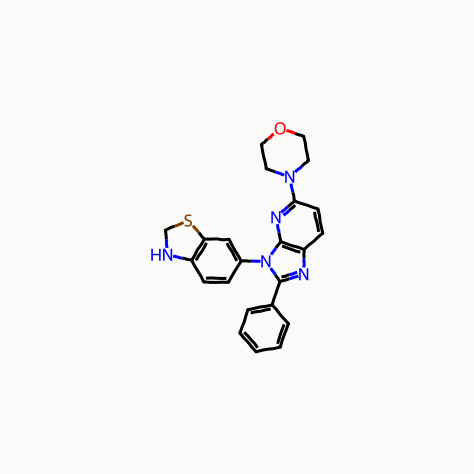 c1ccc(-c2nc3ccc(N4CCOCC4)nc3n2-c2ccc3c(c2)SCN3)cc1